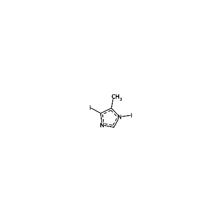 Cc1c(I)ncn1I